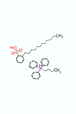 CCCCCCCCCCCCc1ccccc1S(=O)(=O)O.CCCC[PH](c1ccccc1)(c1ccccc1)c1ccccc1